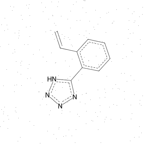 [CH]=Cc1ccccc1-c1nnn[nH]1